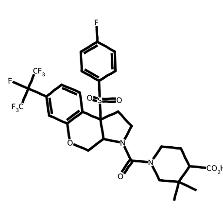 CC1(C)CN(C(=O)N2CCC3(S(=O)(=O)c4ccc(F)cc4)c4ccc(C(F)(C(F)(F)F)C(F)(F)F)cc4OCC23)CCC1C(=O)O